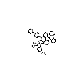 Cc1ccc2c(c1)-c1ccc(N(c3ccc(-c4ccccc4)cc3)c3cccc4c3-c3ccccc3C43c4ccccc4-c4ccccc43)cc1C2(C)C